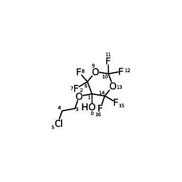 OC1(OCCCl)C(F)(F)OC(F)(F)OC1(F)F